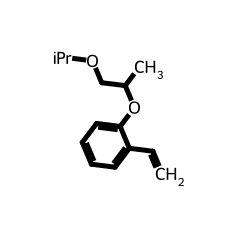 C=Cc1ccccc1OC(C)COC(C)C